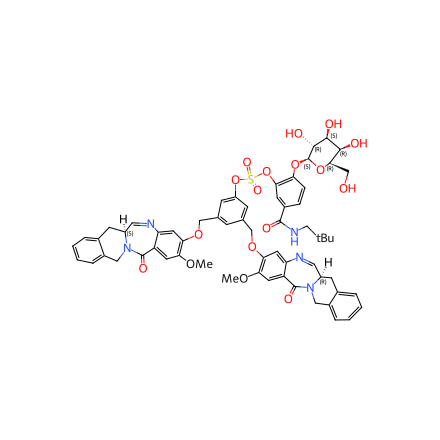 COc1cc2c(cc1OCc1cc(COc3cc4c(cc3OC)C(=O)N3Cc5ccccc5C[C@@H]3C=N4)cc(OS(=O)(=O)Oc3cc(C(=O)NCC(C)(C)C)ccc3O[C@@H]3O[C@H](CO)[C@H](O)[C@H](O)[C@H]3O)c1)N=C[C@@H]1Cc3ccccc3CN1C2=O